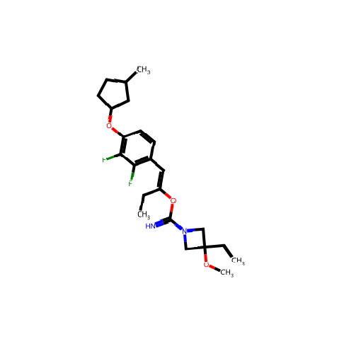 CC/C(=C\c1ccc(OC2CCC(C)C2)c(F)c1F)OC(=N)N1CC(CC)(OC)C1